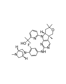 CN1C[C@@H]2C[C@H]1CN2c1ccc(Nc2ncc3c(n2)N(c2cccc(C(C)(C)O)n2)[C@@H]2CC(C)(C)OC[C@]32C)cc1F